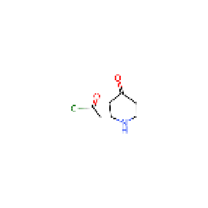 CC(=O)Cl.O=C1CCNCC1